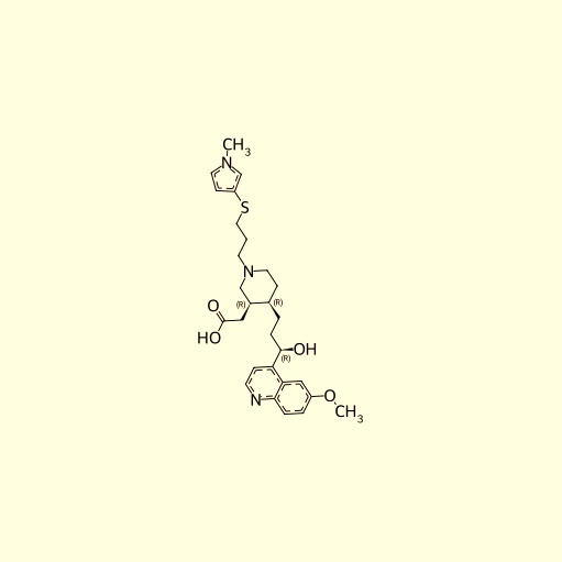 COc1ccc2nccc([C@H](O)CC[C@@H]3CCN(CCCSc4ccn(C)c4)C[C@@H]3CC(=O)O)c2c1